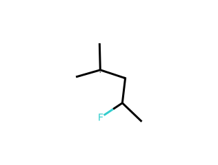 C[C](C)CC(C)F